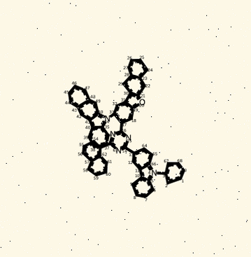 c1ccc(-n2c3ccccc3c3cc(-c4nc(-c5cc6oc7cc8ccccc8cc7c6cc5-n5c6ccccc6c6cc7ccccc7cc65)nc(-c5cccc6ccccc56)n4)ccc32)cc1